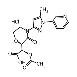 CC(=O)O[C@@H](C(=O)O)[C@H]1OCCN(c2cc(C)n(-c3cccnc3)n2)C1=O.Cl